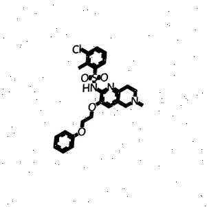 Cc1c(Cl)cccc1S(=O)(=O)Nc1nc2c(cc1OCCOc1ccccc1)CN(C)CC2